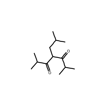 CC(C)CC(C(=O)C(C)C)C(=O)C(C)C